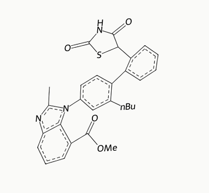 CCCCc1cc(-n2c(C)nc3cccc(C(=O)OC)c32)ccc1-c1ccccc1C1SC(=O)NC1=O